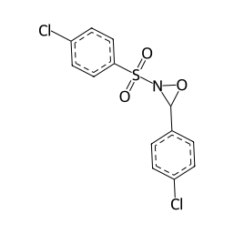 O=S(=O)(c1ccc(Cl)cc1)N1OC1c1ccc(Cl)cc1